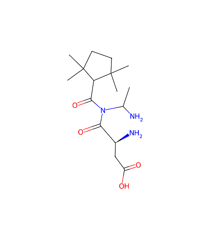 CC(N)N(C(=O)C1C(C)(C)CCC1(C)C)C(=O)[C@@H](N)CC(=O)O